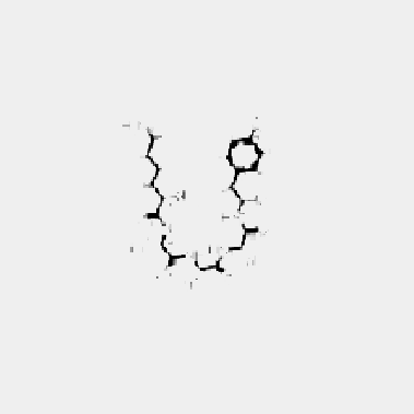 CC(C)[C@H](NC(=O)[C@H](C)NC(=O)[C@@H](NC(=O)[C@@H](N)CCCCN)C(C)C)C(=O)N[C@@H](Cc1ccc(O)cc1)C(=O)O